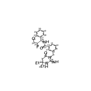 CCC1(CC)CC(=O)N(Cc2cccc(C(=O)N[C@@H]3c4ccccc4OCC3F)c2)C(=N)N1